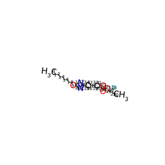 CCCCCCCCCOc1cnc(-c2ccc(-c3ccc(OC(=O)OCC(F)CC)cc3)cc2)nc1